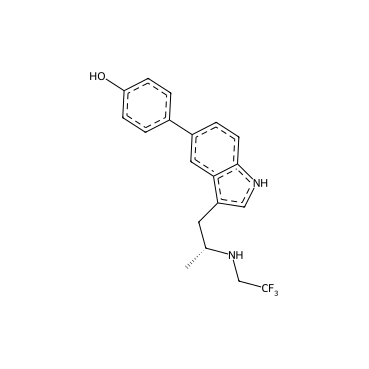 C[C@H](Cc1c[nH]c2ccc(-c3ccc(O)cc3)cc12)NCC(F)(F)F